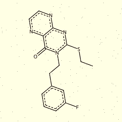 CCSc1nc2nccnc2c(=O)n1CCc1cccc(F)c1